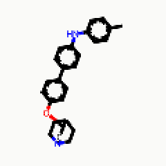 Cc1ccc(Nc2ccc(-c3ccc(OC4CN5CCC4CC5)cc3)cc2)cc1